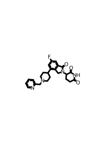 O=C1CCC(N2Cc3c(cc(F)cc3C3CCN(Cc4ccccn4)CC3)C2=O)C(=O)N1